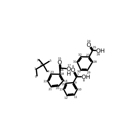 CCC(C)(C)C.O=C(O)c1ccccc1.O=C(O)c1ccccc1.O=C(O)c1ccccc1